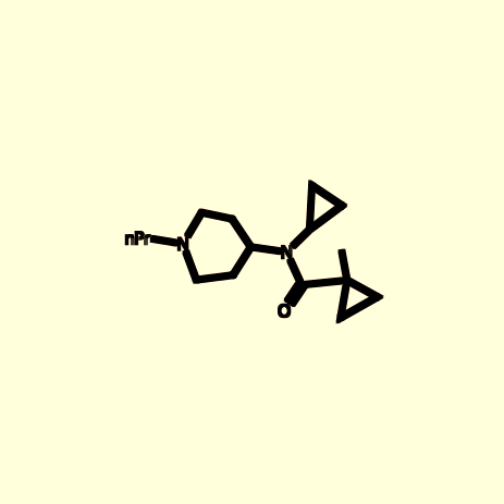 CCCN1CCC(N(C(=O)C2(C)CC2)C2CC2)CC1